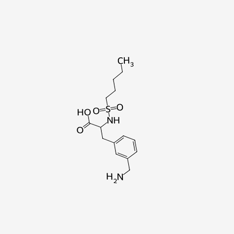 CCCCCS(=O)(=O)NC(Cc1cccc(CN)c1)C(=O)O